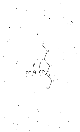 CC(=O)O.CC(=O)O.CCCCCCC